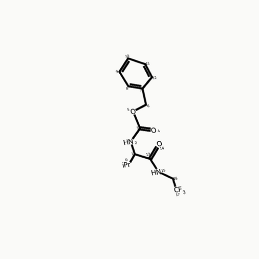 CC(C)C(NC(=O)OCc1ccccc1)C(=O)NCC(F)(F)F